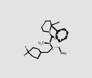 CNC[C@H](CC1CCC(F)(F)CC1)N(C)C(=O)N1CCCCC1(F)c1ccccc1